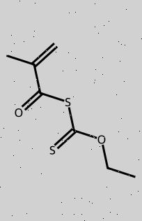 C=C(C)C(=O)SC(=S)OCC